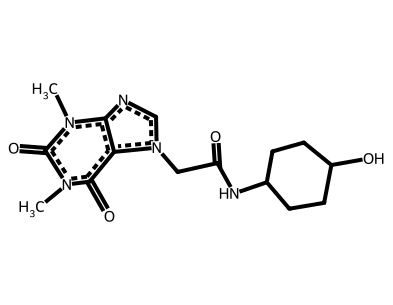 Cn1c(=O)c2c(ncn2CC(=O)NC2CCC(O)CC2)n(C)c1=O